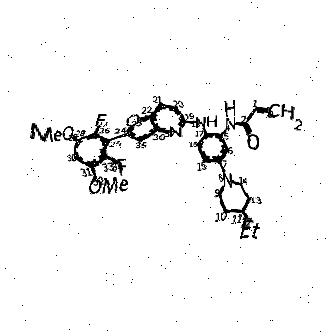 C=CC(=O)Nc1cc(N2CCC(CC)CC2)ccc1Nc1ccc2oc(-c3c(F)c(OC)cc(OC)c3F)cc2n1